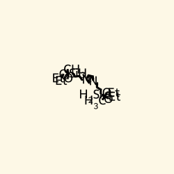 CCOC(C)(OCC)[SiH2]CCCN1CCN(CCC[SiH2]C(C)(OCC)OCC)C1